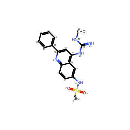 CC(C)(C)S(=O)(=O)Nc1ccc2nc(-c3ccccc3)cc(NC(=N)NC=O)c2c1